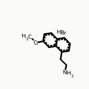 Br.COc1ccc2cccc(CCN)c2c1